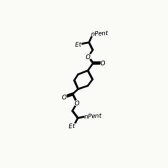 CCCCCC(CC)COC(=O)C1CCC(C(=O)OCC(CC)CCCCC)CC1